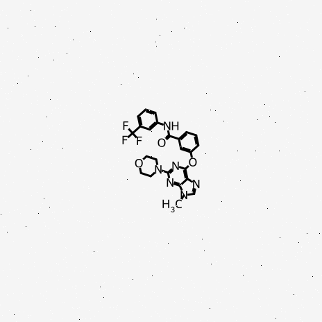 Cn1cnc2c(Oc3cccc(C(=O)Nc4cccc(C(F)(F)F)c4)c3)nc(N3CCOCC3)nc21